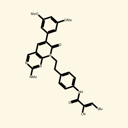 CNc1ncc2cc(-c3cc(OC)cc(OC)c3)c(=O)n(CCc3ccc(NC(=O)C(C#N)=CC(C)(C)C)cc3)c2n1